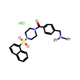 CC(C)N(Cc1ccc(C(=O)N2CCN(S(=O)(=O)c3cccc4ccccc34)CC2)cc1)C(C)C.Cl